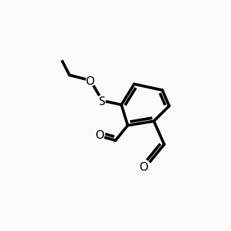 CCOSc1cccc(C=O)c1C=O